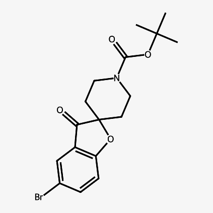 CC(C)(C)OC(=O)N1CCC2(CC1)Oc1ccc(Br)cc1C2=O